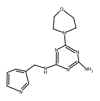 Nc1nc(NCc2cccnc2)nc(N2CCOCC2)n1